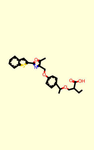 CCC(COC(C)c1ccc(OCc2nc(-c3cc4ccccc4s3)oc2C)cc1)C(=O)O